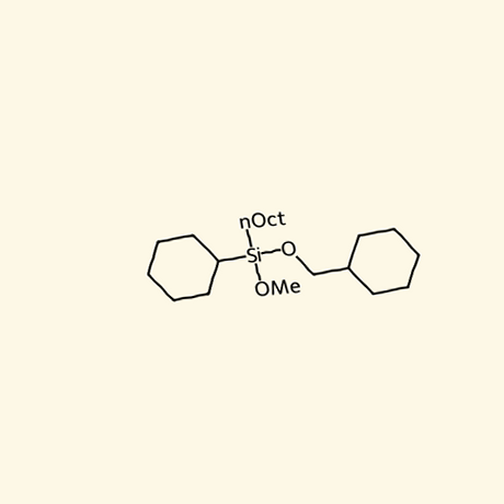 CCCCCCCC[Si](OC)(OCC1CCCCC1)C1CCCCC1